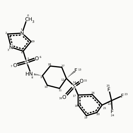 Cn1cnc(S(=O)(=O)N[C@H]2CC[C@](F)(S(=O)(=O)c3cccc(C(F)(F)F)c3)CC2)c1